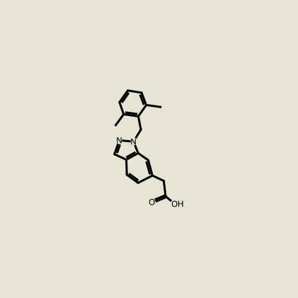 Cc1cccc(C)c1Cn1ncc2ccc(CC(=O)O)cc21